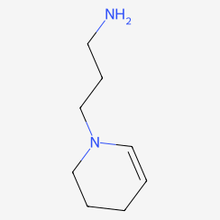 NCCCN1C=CCCC1